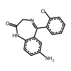 Nc1ccc2c(c1)C(c1ccccc1Cl)=NCC(=O)N2